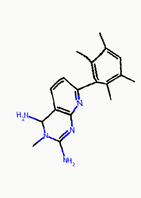 Cc1cc(C)c(C)c(-c2ccc3c(n2)N=C(N)N(C)C3N)c1C